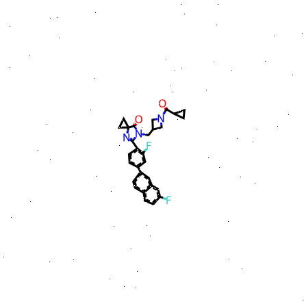 O=C(C1CC1)N1CC(CN2C(=O)C3(CC3)N=C2c2ccc(-c3ccc4ccc(F)cc4c3)cc2F)C1